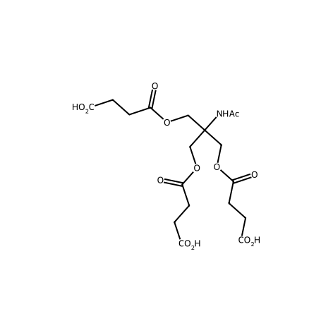 CC(=O)NC(COC(=O)CCC(=O)O)(COC(=O)CCC(=O)O)COC(=O)CCC(=O)O